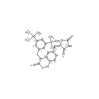 CC(C)(C)c1cc(CN2C(=O)CSc3ccc(C=C4SC(=S)NC4=O)cc32)cc(C(C)(C)C)c1